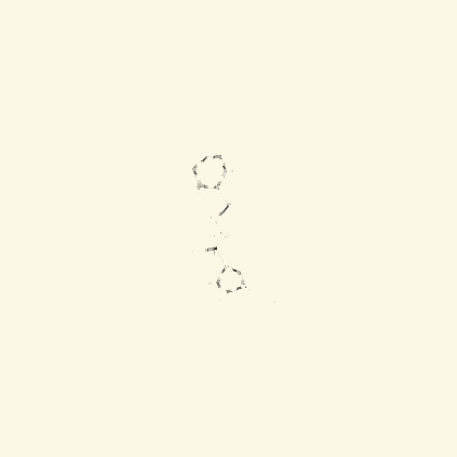 Cc1cc(C(=O)N/N=C/c2ccccc2O)cs1